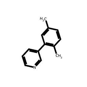 Cc1ccc(C)c(-c2cccnc2)c1